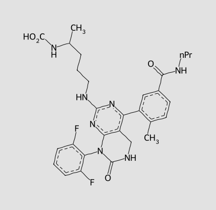 CCCNC(=O)c1ccc(C)c(-c2nc(NCCCC(C)NC(=O)O)nc3c2CNC(=O)N3c2c(F)cccc2F)c1